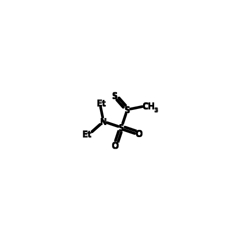 CCN(CC)S(=O)(=O)S(C)=S